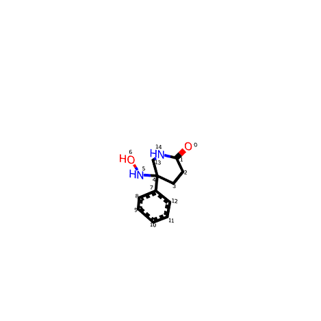 O=C1CCC(NO)(c2ccccc2)CN1